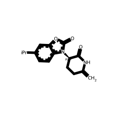 C=C1CC[C@@H](n2c(=O)oc3cc(C(C)C)ccc32)C(=O)N1